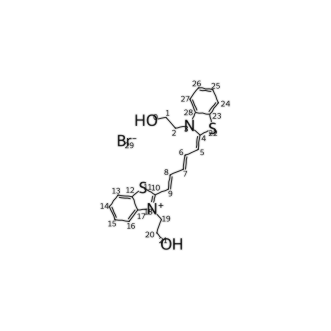 OCCN1C(=CC=CC=Cc2sc3ccccc3[n+]2CCO)Sc2ccccc21.[Br-]